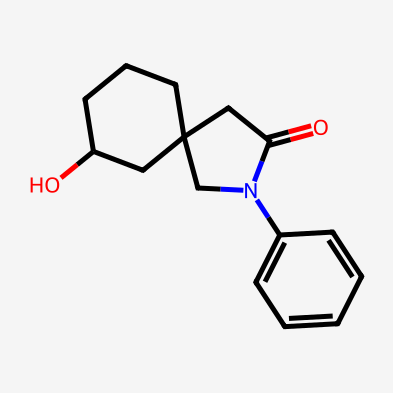 O=C1CC2(CCCC(O)C2)CN1c1ccccc1